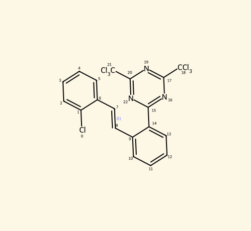 Clc1ccccc1/C=C/c1ccccc1-c1nc(C(Cl)(Cl)Cl)nc(C(Cl)(Cl)Cl)n1